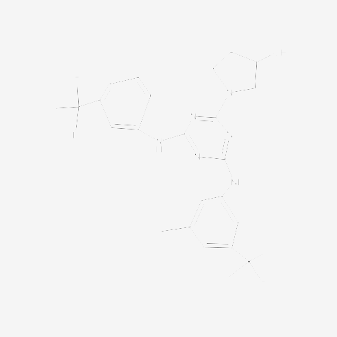 OC1CCN(c2nc(Nc3cccc(C(F)(F)F)c3)nc(Nc3cc(Cl)cc(C(F)(F)F)c3)n2)C1